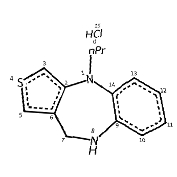 CCCN1c2cscc2CNc2ccccc21.Cl